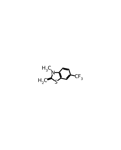 C=C1Sc2cc(C(F)(F)F)ccc2N1C